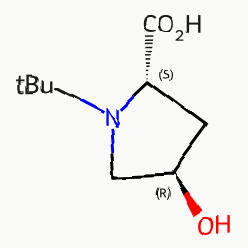 CC(C)(C)N1C[C@H](O)C[C@H]1C(=O)O